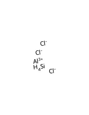 [Al+3].[Cl-].[Cl-].[Cl-].[SiH4]